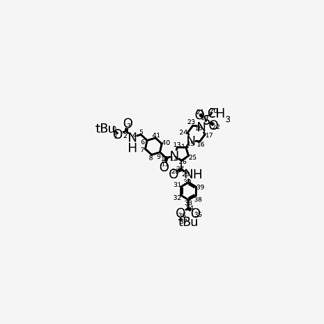 CC(C)(C)OC(=O)NCC1CCC(C(=O)N2C[C@@H](N3CCN(S(C)(=O)=O)CC3)C[C@H]2C(=O)Nc2ccc(C(=O)OC(C)(C)C)cc2)CC1